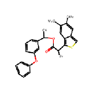 COc1cc2csc(C(C(=O)OC(C#N)c3cccc(Oc4ccccc4)c3)C(C)C)c2cc1OC